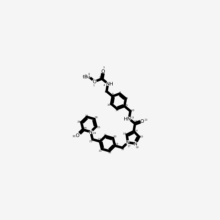 CC(C)(C)OC(=O)NCc1ccc(CNC(=O)c2cnn(Cc3ccc(Cn4ccccc4=O)cc3)c2)cc1